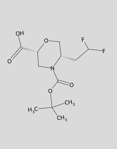 CC(C)(C)OC(=O)N1C[C@H](C(=O)O)OC[C@@H]1CC(F)F